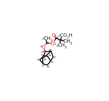 CC(OC(=O)C(C)(C)C(=O)O)OC1C2CC3CC(C2)CC1C3